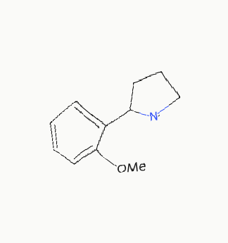 COc1ccccc1C1CCC[N]1